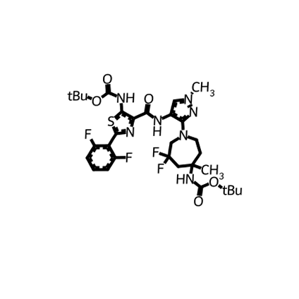 Cn1cc(NC(=O)c2nc(-c3c(F)cccc3F)sc2NC(=O)OC(C)(C)C)c(N2CCC(C)(NC(=O)OC(C)(C)C)CC(F)(F)C2)n1